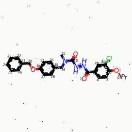 CC(C)Oc1ccc(C(=O)NNC(=O)N(C)Cc2ccc(OCc3ccccc3)cc2)cc1Cl